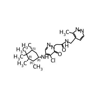 Cc1nnccc1CNC(=O)Cn1ncc(N[C@@H]2C[C@H](C)C(C)(C)[C@H](C)[C@H]2C)c(Cl)c1=O